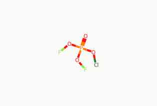 O=P(OF)(OF)OCl